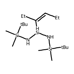 CCC=C(CC)[SiH](N[Si](C)(C)C(C)(C)C)N[Si](C)(C)C(C)(C)C